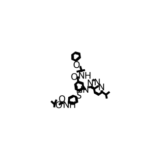 CC(C)c1ccc2c(Nc3cc(C(=O)NC(C)(C)COc4ccccc4)ccc3Sc3ccc(NC(=O)OC(C)(C)C)cc3)ncnc2n1